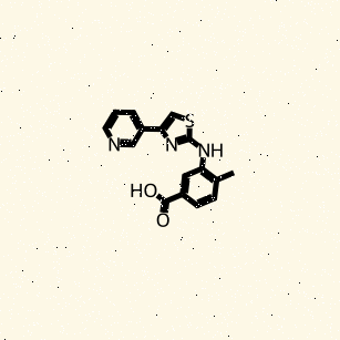 Cc1ccc(C(=O)O)cc1Nc1nc(-c2cccnc2)cs1